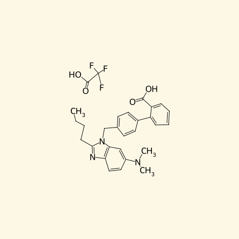 CCCCc1nc2ccc(N(C)C)cc2n1Cc1ccc(-c2ccccc2C(=O)O)cc1.O=C(O)C(F)(F)F